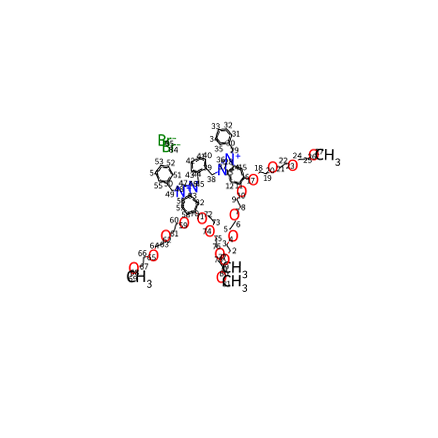 COCCOCCOCCOc1cc2c(cc1OCCOCCOCCOC)[n+](Cc1ccccc1)cn2Cc1ccccc1Cn1c[n+](Cc2ccccc2)c2cc(OCCOCCOCCOC)c(OCCOCCOCCOC)cc21.[Br-].[Br-]